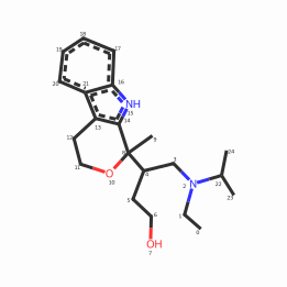 CCN(CC(CCO)C1(C)OCCc2c1[nH]c1ccccc21)C(C)C